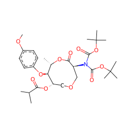 COc1ccc(O[C@H]2[C@H](C)OC(=O)[C@@H](N(C(=O)OC(C)(C)C)C(=O)OC(C)(C)C)COC[C@@H]2OC(=O)C(C)C)cc1